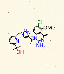 C=C(/N=C(N)\N=C(/C)c1cn(Cc2cccc(C(C)(C)O)n2)nn1)c1cccc(Cl)c1OC